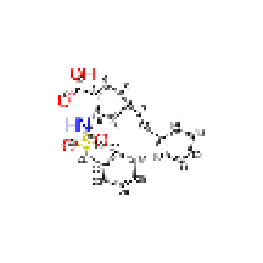 O=C(O)c1ccc(C=Cc2ccccc2)cc1NS(=O)(=O)Cc1ccccc1